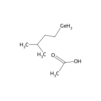 CC(=O)O.CC(C)C[CH2][GeH3]